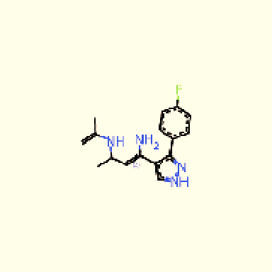 C=C(C)NC(C)/C=C(\N)c1c[nH]nc1-c1ccc(F)cc1